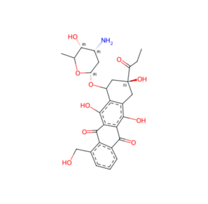 CCC(=O)[C@]1(O)Cc2c(O)c3c(c(O)c2C(O[C@H]2C[C@@H](N)[C@@H](O)C(C)O2)C1)C(=O)c1c(CO)cccc1C3=O